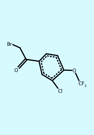 O=C(CBr)c1ccc(OC(F)(F)F)c(Cl)c1